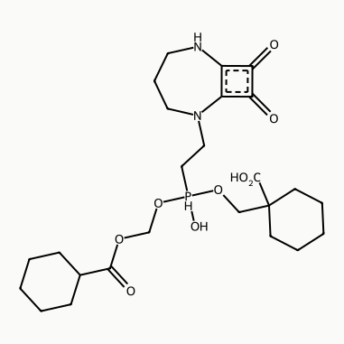 O=C(OCO[PH](O)(CCN1CCCNc2c1c(=O)c2=O)OCC1(C(=O)O)CCCCC1)C1CCCCC1